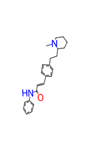 CN1CCCCC1CCc1ccc(C=CC(=O)Nc2ccccc2)cc1